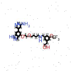 Nc1cc(-c2cc(OCCOCCCCNCc3cc(CCO)cc(OC(F)(F)F)c3)c3cn[nH]c3c2)cnn1